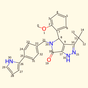 COc1ccccc1C1c2c(C(C)(C)C)n[nH]c2C(=O)N1Cc1ccc(-c2ccc[nH]2)cc1